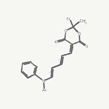 CCC1(C)OC(=O)C(=C/C=C/C=C/N(C(C)=O)c2ccccc2)C(=O)O1